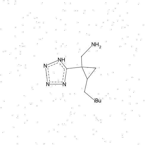 CCC(C)CC1CC1(CN)c1nnn[nH]1